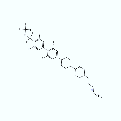 C/C=C/CCC1CCC(C2CCC(c3cc(F)c(-c4cc(F)c(C(F)(F)OC(F)(F)F)c(F)c4)c(F)c3)CC2)OC1